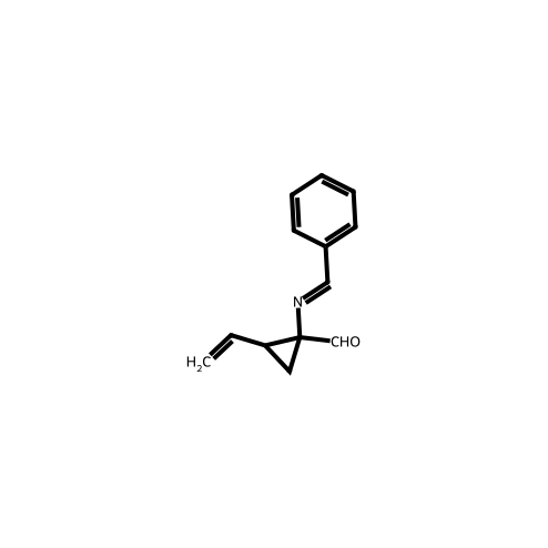 C=CC1CC1(C=O)/N=C/c1ccccc1